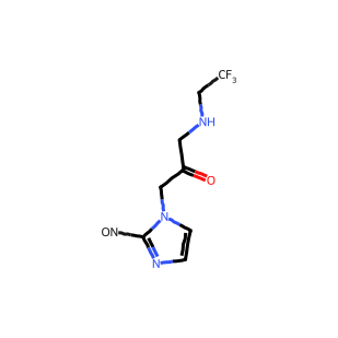 O=Nc1nccn1CC(=O)CNCC(F)(F)F